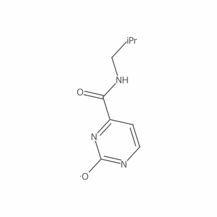 CC(C)CNC(=O)c1ccnc([O])n1